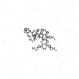 COc1ccc(OC)c(Cn2c(=O)n(C)c(=O)c3c2nc(S(=O)(=O)Cc2cc(OC)ccc2OC)n3C)c1